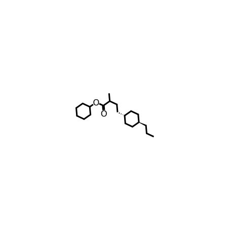 CCC[C@H]1CC[C@H](CCC(C)C(=O)OC2CCCCC2)CC1